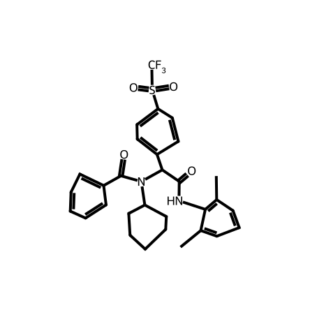 Cc1cccc(C)c1NC(=O)C(c1ccc(S(=O)(=O)C(F)(F)F)cc1)N(C(=O)c1ccccc1)C1CCCCC1